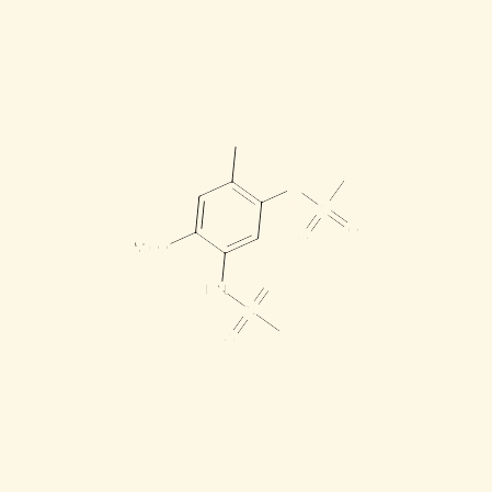 COc1cc(C)c(OS(C)(=O)=O)cc1NS(C)(=O)=O